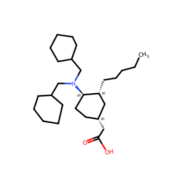 CCCCC[C@@H]1C[C@H](CC(=O)O)CC[C@H]1N(CC1CCCCC1)CC1CCCCC1